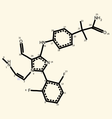 CN/C=C\n1c(-c2c(F)cccc2F)nc(Nc2ccc(C(C)(C)C(N)=O)cc2)c1C=O